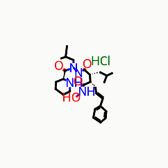 CC(C)C[C@@H](C(=O)NN(CC(C)C)C(=O)[C@@H]1CCCCN1)[C@H](CC=Cc1ccccc1)C(=O)NO.Cl